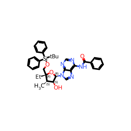 CC[C@@]1(CO[Si](c2ccccc2)(c2ccccc2)C(C)(C)C)O[C@@H](n2cnc3c(NC(=O)c4ccccc4)ncnc32)[C@@H](O)[C@@H]1C